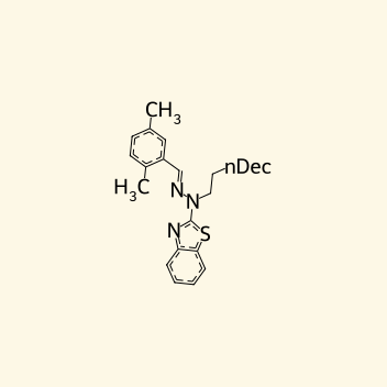 CCCCCCCCCCCCN(/N=C/c1cc(C)ccc1C)c1nc2ccccc2s1